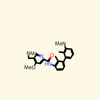 CNCc1cnc(C(=O)Nc2cccc(-c3cccc(NC)c3C)c2C)cc1OC